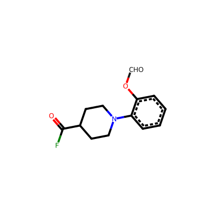 O=COc1ccccc1N1CCC(C(=O)F)CC1